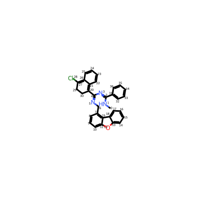 CN/C(=N\C(=N/Cc1cccc2oc3ccccc3c12)C1=c2ccccc2=C(Cl)CC1)c1ccccc1